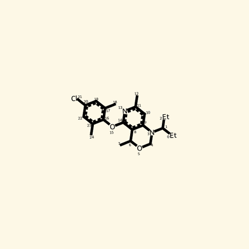 CCC(CC)N1COC(C)c2c1cc(C)nc2Oc1c(C)cc(Cl)cc1C